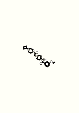 CCOc1cccc(C(=O)NC2CCN(CC(=O)N3CCN(C4CCC4)CC3)CC2)c1